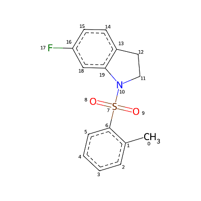 Cc1ccccc1S(=O)(=O)N1CCc2ccc(F)cc21